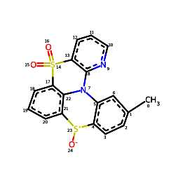 Cc1ccc2c(c1)N1c3ncccc3S(=O)(=O)c3cccc(c31)[S+]2[O-]